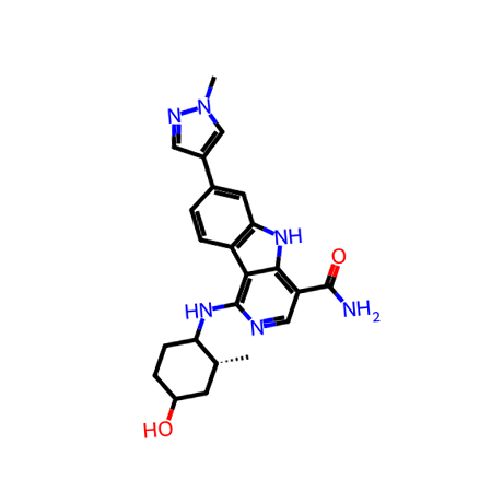 C[C@@H]1CC(O)CCC1Nc1ncc(C(N)=O)c2[nH]c3cc(-c4cnn(C)c4)ccc3c12